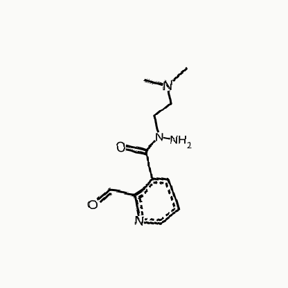 CN(C)CCN(N)C(=O)c1cccnc1C=O